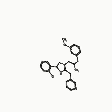 COc1cccc(CN(C)CC2=C(Cc3cccnc3)NN(c3ccccc3Cl)C2)c1